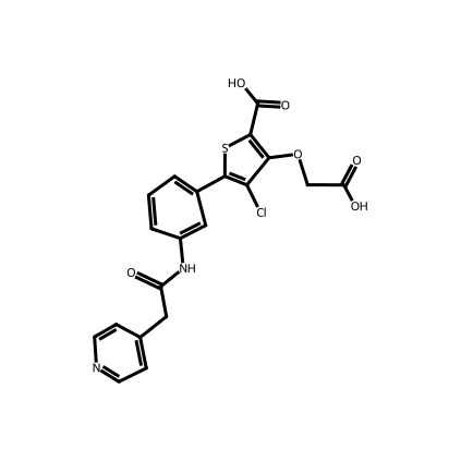 O=C(O)COc1c(C(=O)O)sc(-c2cccc(NC(=O)Cc3ccncc3)c2)c1Cl